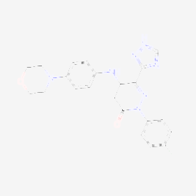 O=C1CC(Nc2ccc(N3CCOCC3)cc2)C(c2nc[nH]n2)=NN1c1ccc(Cl)cc1